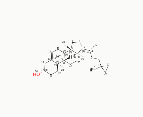 CC(C)C1(CC[C@@H](C)[C@H]2CC[C@H]3[C@@H]4CC=C5C[C@@H](O)CC[C@]5(C)[C@H]4CC[C@]23C)CC1